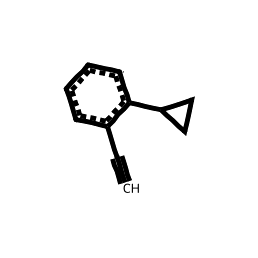 C#Cc1ccc[c]c1C1CC1